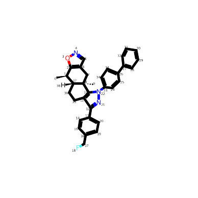 C[C@H]1c2oncc2C[C@@]2(C)c3c(c(-c4ccc(CF)cc4)nn3-c3ccc(-c4ccccc4)cc3)CC[C@H]12